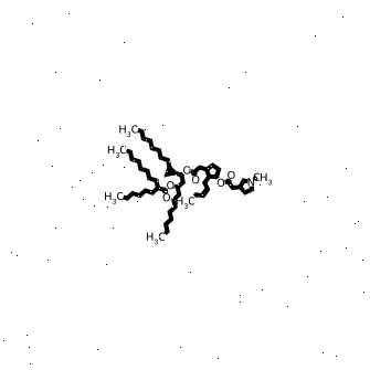 CC/C=C\CC1C(CC(=O)OC(CC(CCCCCCCC)OC(=O)C(CCCCCC)CCCCCCCC)C2CC2CCCCCCCC)CCC1OC(=O)CC1CCN(C)C1